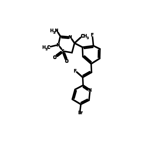 CN1C(N)=NC(C)(c2cc(C=C(F)c3ccc(Br)cn3)ccc2F)CS1(=O)=O